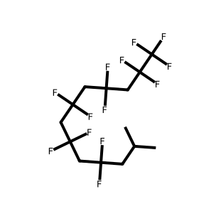 CC(C)CC(F)(F)CC(F)(F)CC(F)(F)CC(F)(F)CC(F)(F)C(F)(F)F